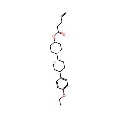 C=CCCC(=O)O[C@H]1CC[C@H]([C@H]2CC[C@H](c3ccc(OCC)cc3)CC2)CC1